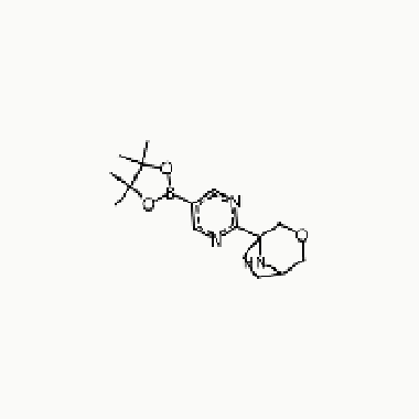 CC1(C)OB(c2cnc(C34CCC(COC3)N4)nc2)OC1(C)C